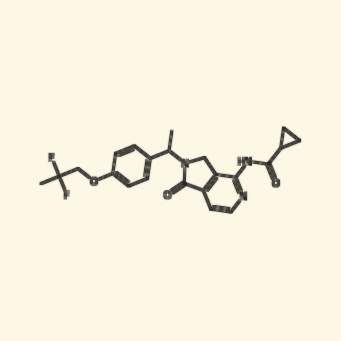 CC(c1ccc(OCC(C)(F)F)cc1)N1Cc2c(ccnc2NC(=O)C2CC2)C1=O